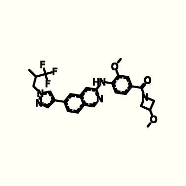 COc1cc(C(=O)N2CC(OC)C2)ccc1Nc1cc2cc(-c3cnn(CC(C)C(F)(F)F)c3)ccc2cn1